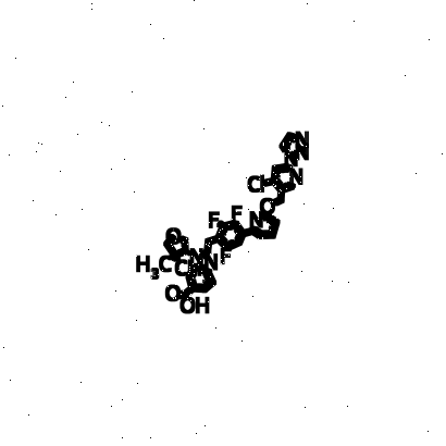 CC1(C)COC[C@H]1n1c(Cc2c(F)cc(-c3cccc(OCc4cnc(-n5ccnn5)cc4Cl)n3)c(F)c2F)nc2ccc(C(=O)O)cc21